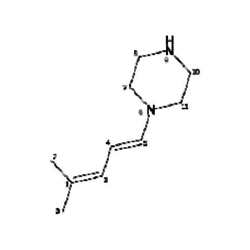 CC(C)=CC=CN1CCNCC1